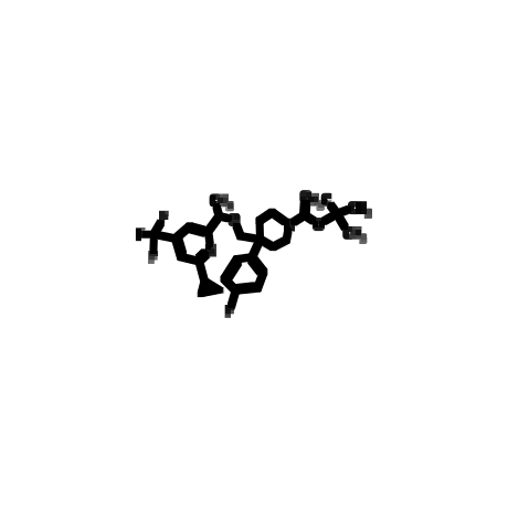 CC(OCC1(c2ccc(F)cc2)CCN(C(=O)OC(C)(C)C)CC1)c1cc(C(F)(F)F)cc(C2CC2)n1